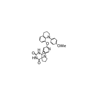 COc1ccc(N2CCCc3cccc(Oc4ccc(N5CCCC56C(=O)NC(=O)NC6=O)cn4)c32)cc1